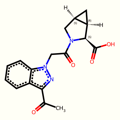 CC(=O)c1nn(CC(=O)N2C[C@H]3C[C@H]3[C@H]2C(=O)O)c2ccccc12